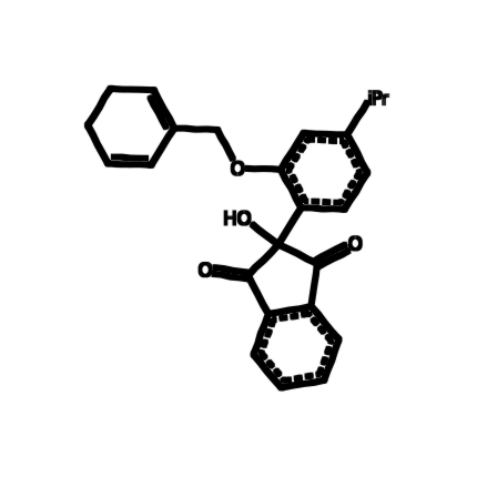 CC(C)c1ccc(C2(O)C(=O)c3ccccc3C2=O)c(OCC2=CCCC=C2)c1